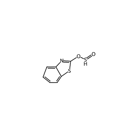 O=[SH]Oc1nc2ccccc2s1